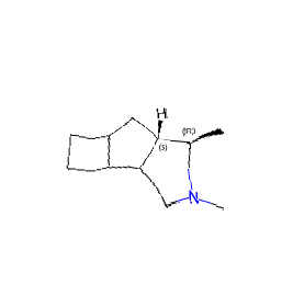 C[C@@H]1[C@H]2CC3CCC3C2CN1C